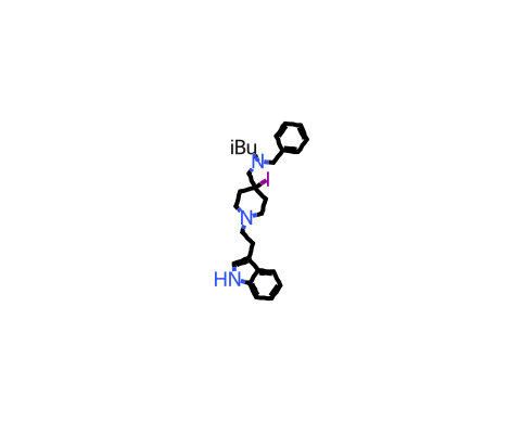 CCC(C)N(Cc1ccccc1)CC1(I)CCN(CCc2c[nH]c3ccccc23)CC1